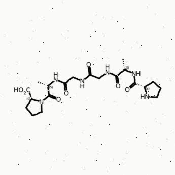 C[C@H](NC(=O)[C@@H]1CCCN1)C(=O)NCC(=O)NCC(=O)N[C@@H](C)C(=O)N1CCC[C@H]1C(=O)O